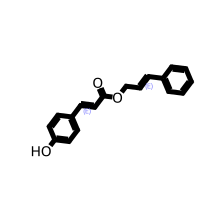 O=C(/C=C/c1ccc(O)cc1)OC/C=C/c1ccccc1